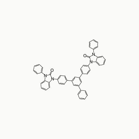 O=c1n(-c2ccccc2)c2ccccc2n1-c1ccc(-c2cc(-c3ccccc3)cc(-c3ccc(-n4c(=O)n(-c5ccccc5)c5ccccc54)cc3)c2)cc1